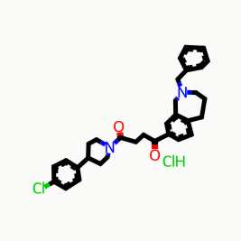 Cl.O=C(CCC(=O)N1CCC(c2ccc(Cl)cc2)CC1)c1ccc2c(c1)CN(Cc1ccccc1)CCC2